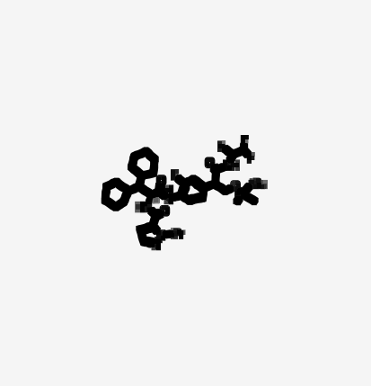 CC(C)n1nccc1C(=O)N[C@H](C(=O)Nc1ccc(C(CO[Si](C)(C)C(C)(C)C)C(=O)NC(F)C(F)F)cc1F)C(C1CCCCC1)C1CCCCC1